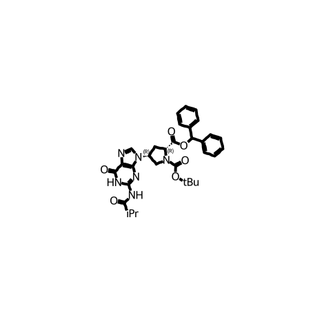 CC(C)C(=O)Nc1nc2c(ncn2[C@@H]2C[C@H](C(=O)OC(c3ccccc3)c3ccccc3)N(C(=O)OC(C)(C)C)C2)c(=O)[nH]1